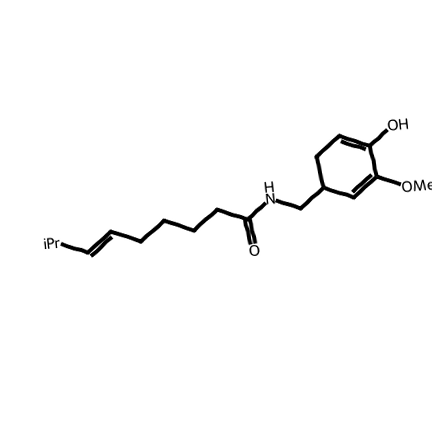 COC1=CC(CNC(=O)CCCC/C=C/C(C)C)CC=C1O